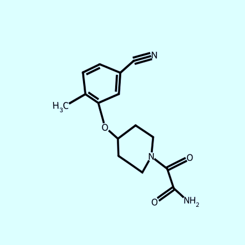 Cc1ccc(C#N)cc1OC1CCN(C(=O)C(N)=O)CC1